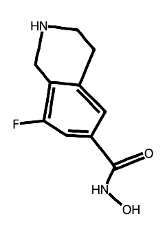 O=C(NO)c1cc(F)c2c(c1)CCNC2